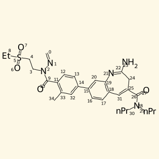 C=NN(CCS(=O)(=O)CC)C(=O)c1ccc(-c2ccc3c(c2)N=C(N)CC(C(=O)N(CCC)CCC)=C3)cc1C